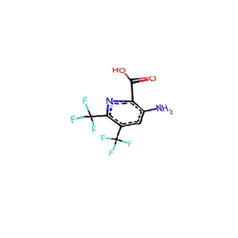 Nc1cc(C(F)(F)F)c(C(F)(F)F)nc1C(=O)O